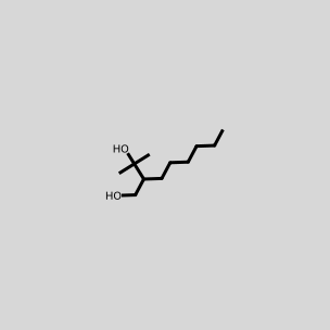 CCCCCCC(CO)C(C)(C)O